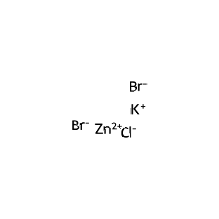 [Br-].[Br-].[Cl-].[K+].[Zn+2]